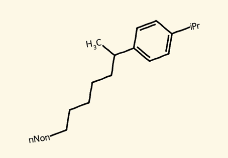 CCCCCCCCCCCCCCC(C)c1ccc(C(C)C)cc1